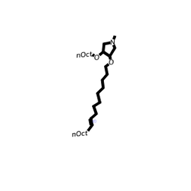 CCCCCCCC/C=C/CCCCCCCCOC1CN(C)CC1OCCCCCCCC